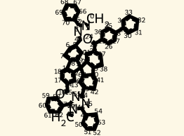 C=N/C(=N\Cc1ccc2c(c1)C1(c3cc(C=O)ccc3-2)c2cc(C(=O)c3ccc(-c4ccccc4)cc3)ccc2-c2ccc(C(/N=C(\N=C)c3ccccc3)=N/Cc3ccccc3)cc21)c1ccccc1